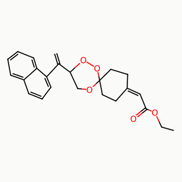 C=C(c1cccc2ccccc12)C1COC2(CCC(=CC(=O)OCC)CC2)OO1